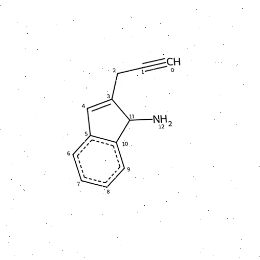 C#CCC1=Cc2ccccc2C1N